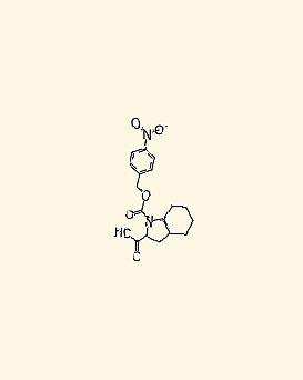 O=C(O)C1CC2CCCCC2N1C(=O)OCc1ccc([N+](=O)[O-])cc1